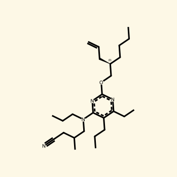 C=CC[C@@H](CCCC)COc1nc(CC)c(CCC)c(N(CCC)CC(C)CC#N)n1